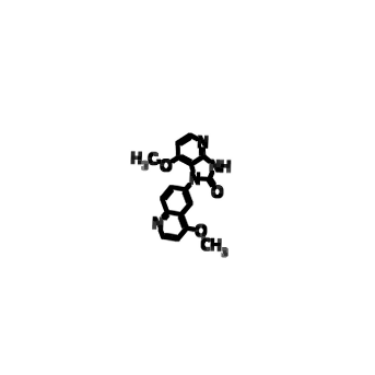 COc1ccnc2ccc(-n3c(=O)[nH]c4nccc(OC)c43)cc12